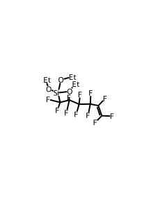 CCO[Si](OCC)(OCC)C(F)(F)C(F)(F)C(F)(F)C(F)(F)C(F)=C(F)F